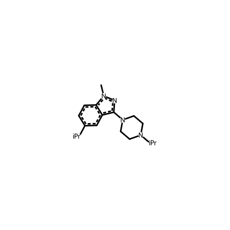 CC(C)c1ccc2c(c1)c(N1CCN(C(C)C)CC1)nn2C